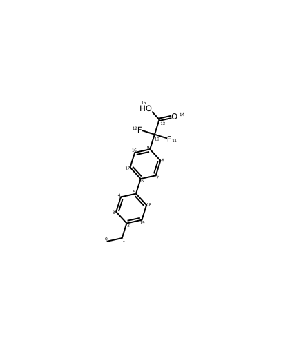 CCc1ccc(-c2ccc(C(F)(F)C(=O)O)cc2)cc1